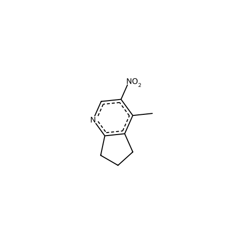 Cc1c([N+](=O)[O-])cnc2c1CCC2